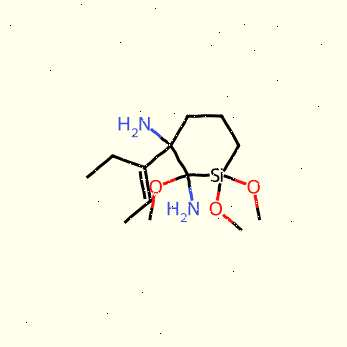 CC=C(CC)C1(N)CCC[Si](OC)(OC)C1(N)OC